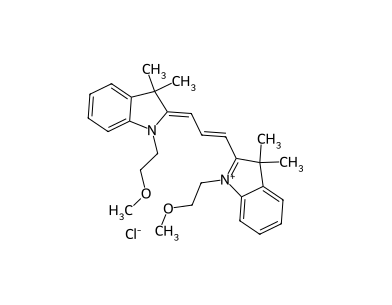 COCCN1C(=CC=CC2=[N+](CCOC)c3ccccc3C2(C)C)C(C)(C)c2ccccc21.[Cl-]